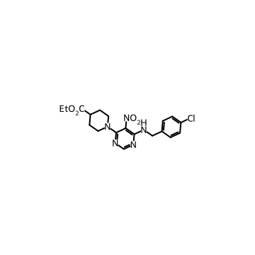 CCOC(=O)C1CCN(c2ncnc(NCc3ccc(Cl)cc3)c2[N+](=O)[O-])CC1